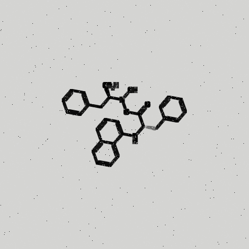 O=C(ON(O)[C@@H](Cc1ccccc1)C(=O)O)[C@H](Cc1ccccc1)Nc1cccc2ccccc12